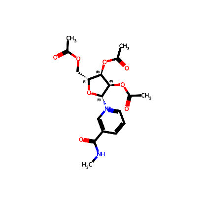 CNC(=O)c1ccc[n+]([C@@H]2O[C@H](COC(C)=O)[C@@H](OC(C)=O)[C@H]2OC(C)=O)c1